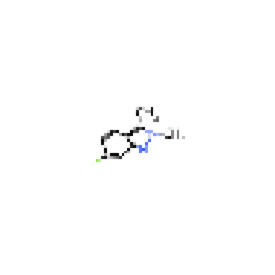 Cc1c2ccc(F)cc2nn1C